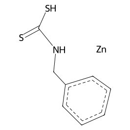 S=C(S)NCc1ccccc1.[Zn]